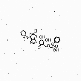 O=C1[C@H](COCP(=O)(O)Oc2ccccc2)[C@H](O)[C@H](O)[C@H]1n1cnc2c(NC3CCCC3)nc(Cl)nc21